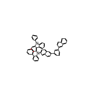 c1ccc(-c2ccccc2N(c2ccc3cc(-c4cccc(-c5ccc6ccccc6c5)c4)ccc3c2)c2cccc3c2c2ccccc2n3-c2ccccc2)cc1